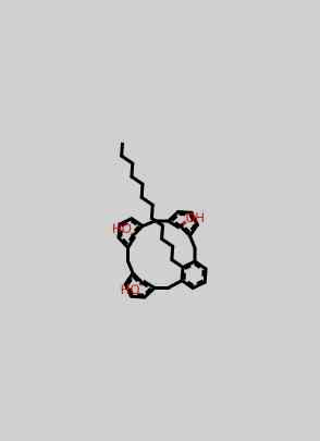 CCCCCCCCCCCCc1c2cccc1Cc1cccc(c1O)Cc1cccc(c1O)Cc1cccc(c1O)C2